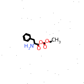 CCOC(=O)OC(=O)[C@H](N)Cc1ccccc1